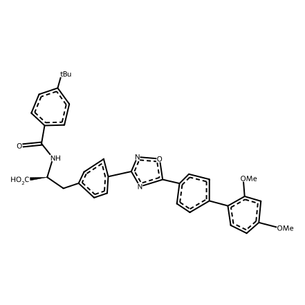 COc1ccc(-c2ccc(-c3nc(-c4ccc(C[C@H](NC(=O)c5ccc(C(C)(C)C)cc5)C(=O)O)cc4)no3)cc2)c(OC)c1